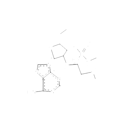 CC[C@H]1O[C@@H](n2cnc3c(N)ncnc32)C(OCCOC)[C@H]1OP(=O)(O)OC